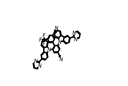 N#Cc1cc(-c2c(-n3c4ccccc4c4cc(-c5ncccn5)ccc43)cc(C#N)cc2-n2c3ccccc3c3cc(-c4ncccn4)ccc32)cc(C(F)(F)F)c1